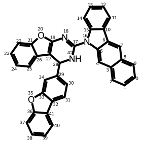 c1ccc2cc3c(cc2c1)c1ccccc1n3C1=Nc2oc3ccccc3c2C(c2ccc3c(c2)oc2ccccc23)N1